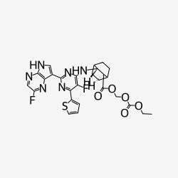 CCOC(=O)OCOC(=O)[C@@H]1C2CCC(CC2)[C@H]1Nc1nc(-c2c[nH]c3ncc(F)nc23)nc(-c2cccs2)c1F